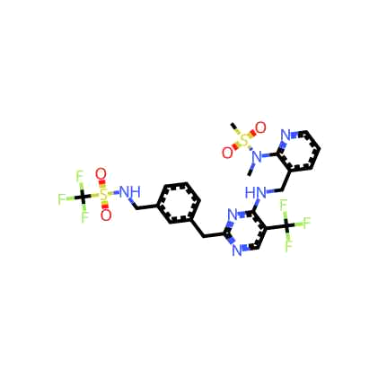 CN(c1ncccc1CNc1nc(Cc2cccc(CNS(=O)(=O)C(F)(F)F)c2)ncc1C(F)(F)F)S(C)(=O)=O